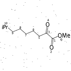 COC(=O)C(=O)CCCCCC(C)C